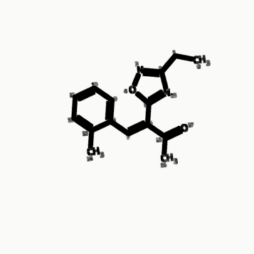 CCc1noc(/C(=C\c2ccccc2C)C(C)=O)n1